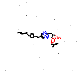 C=C(C)COCC(CO)Cc1ncc(CCC2CCC(CCCCC)CC2)cn1